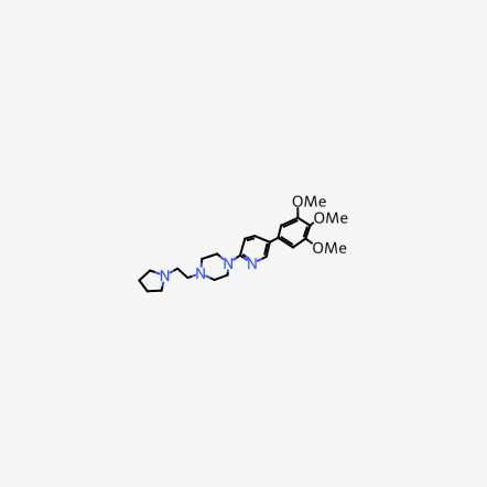 COc1cc(-c2ccc(N3CCN(CCN4CCCC4)CC3)nc2)cc(OC)c1OC